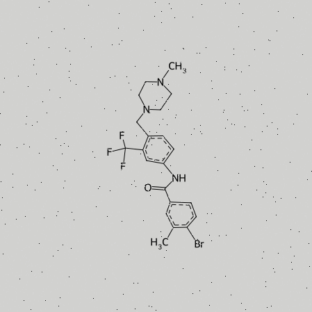 Cc1cc(C(=O)Nc2ccc(CN3CCN(C)CC3)c(C(F)(F)F)c2)ccc1Br